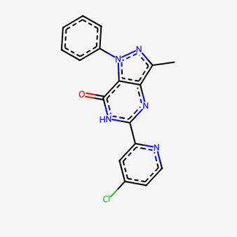 Cc1nn(-c2ccccc2)c2c(=O)[nH]c(-c3cc(Cl)ccn3)nc12